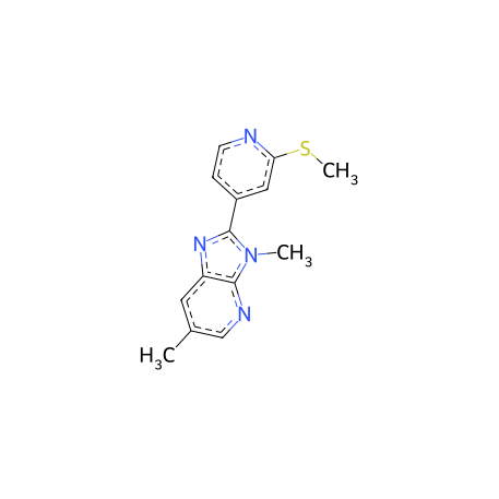 CSc1cc(-c2nc3cc(C)cnc3n2C)ccn1